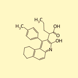 CCCC(C(=O)O)c1c(O)nc2ccc3c(c2c1-c1ccc(C)cc1)CCCC3